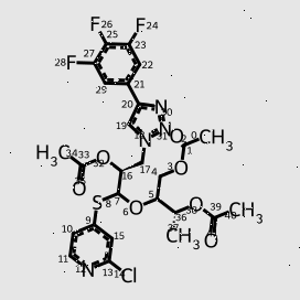 CC(=O)OCC(OC(Sc1ccnc(Cl)c1)[C@H](Cn1cc(-c2cc(F)c(F)c(F)c2)nn1)OC(C)=O)[C@@H](C)OC(C)=O